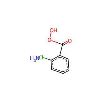 N.O=C(OO)c1ccccc1Cl